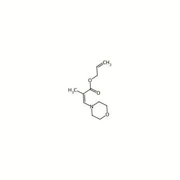 C=CCOC(=O)C(C)=CN1CCOCC1